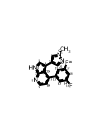 Cn1cc(-c2c[nH]c3nccc(-c4cc(F)cc(F)c4)c23)cn1